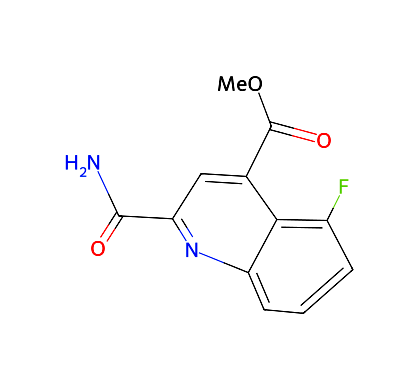 COC(=O)c1cc(C(N)=O)nc2cccc(F)c12